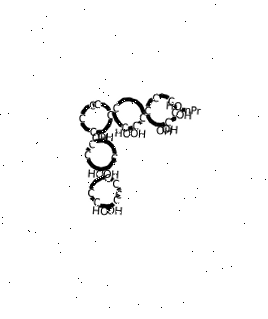 CCCC(O)O.OC1(O)CCCCCCCCCCCCCC1.OC1(O)CCCCCCCCCCCCCC1.OC1(O)CCCCCCCCCCCCCC1.OC1(O)CCCCCCCCCCCCCC1.OC1(O)CCCCCCCCCCCCCC1